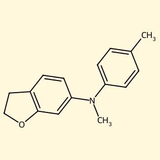 Cc1ccc(N(C)c2ccc3c(c2)OCC3)cc1